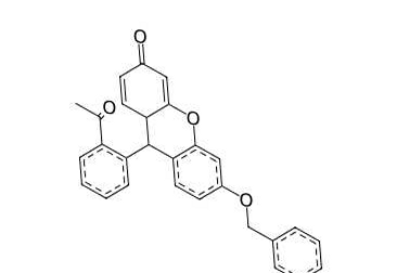 CC(=O)c1ccccc1C1c2ccc(OCc3ccccc3)cc2OC2=CC(=O)C=CC21